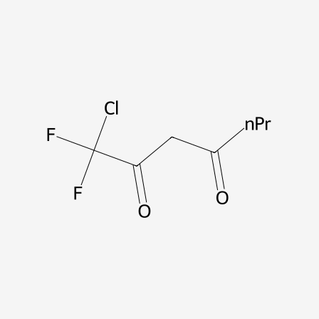 CCCC(=O)CC(=O)C(F)(F)Cl